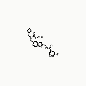 CC(C)(C)OC(=O)N(Cc1ccc2nc(CNC(=O)c3cncc(F)c3)cn2c1)CC1CCC1